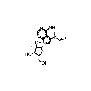 C[C@@]1(O)[C@H](O)[C@@H](CO)O[C@H]1n1cc(NC=O)c2c(N)ncnc21